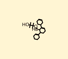 CC(C)(O)C(C)(C)OBC1C(C2CC=CCC2)=CCCC1C1=CCCCC1